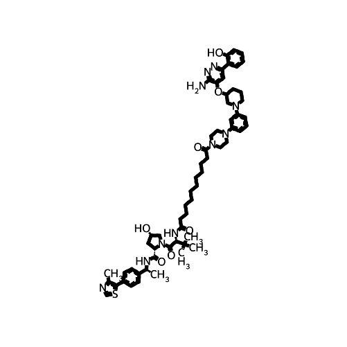 Cc1ncsc1-c1ccc([C@H](C)NC(=O)[C@@H]2C[C@@H](O)CN2C(=O)[C@@H](NC(=O)CCCCCCCCCCC(=O)N2CCN(c3cccc(N4CCCC(Oc5cc(-c6ccccc6O)nnc5N)C4)c3)CC2)C(C)(C)C)cc1